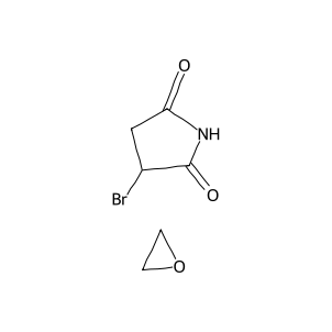 C1CO1.O=C1CC(Br)C(=O)N1